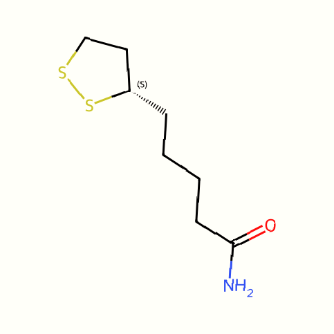 NC(=O)CCCC[C@H]1CCSS1